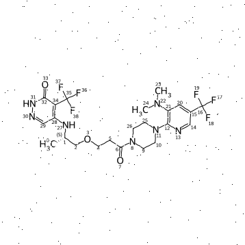 C[C@@H](COCCC(=O)N1CCN(c2ncc(C(F)(F)F)cc2N(C)C)CC1)Nc1cn[nH]c(=O)c1C(F)(F)F